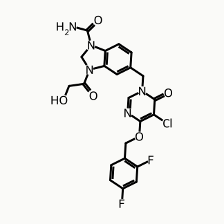 NC(=O)N1CN(C(=O)CO)c2cc(Cn3cnc(OCc4ccc(F)cc4F)c(Cl)c3=O)ccc21